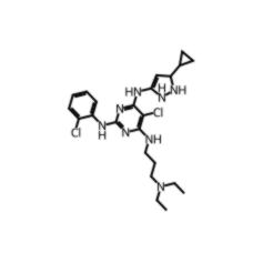 CCN(CC)CCCNc1nc(Nc2ccccc2Cl)nc(NC2=CC(C3CC3)NN2)c1Cl